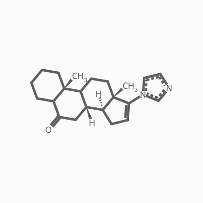 C[C@]12CCCCC1C(=O)C[C@@H]1C2CC[C@]2(C)C(n3ccnc3)=CC[C@@H]12